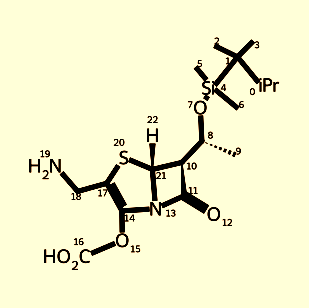 CC(C)C(C)(C)[Si](C)(C)O[C@H](C)[C@H]1C(=O)N2C(OC(=O)O)=C(CN)S[C@H]12